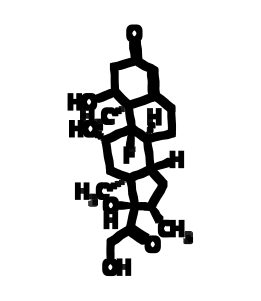 C[C@@H]1C[C@H]2[C@@H]3CCC4=CC(=O)CC(O)[C@]4(C)[C@@]3(F)[C@@H](O)C[C@]2(C)[C@@]1(O)C(=O)CO